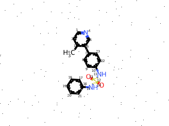 Cc1ccncc1-c1ccc(NS(=O)(=O)Nc2ccccc2)cc1